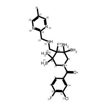 BC1(B)CN(C(=O)c2ccc(F)c(Cl)c2)CC(B)(B)C1(F)CNCc1ncc(C)cn1